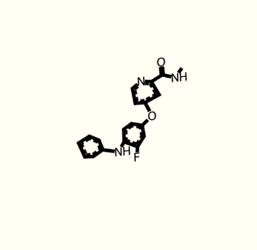 CNC(=O)c1cc(Oc2ccc(Nc3ccccc3)c(F)c2)ccn1